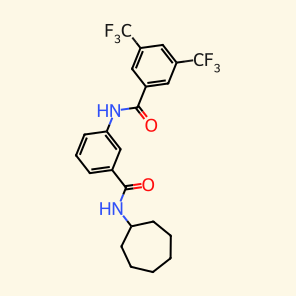 O=C(Nc1cccc(C(=O)NC2CCCCCC2)c1)c1cc(C(F)(F)F)cc(C(F)(F)F)c1